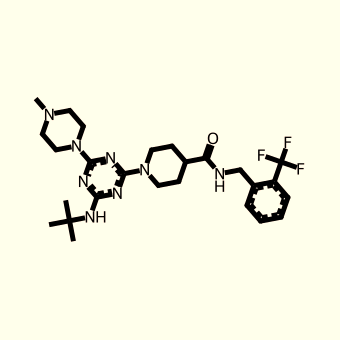 CN1CCN(c2nc(NC(C)(C)C)nc(N3CCC(C(=O)NCc4ccccc4C(F)(F)F)CC3)n2)CC1